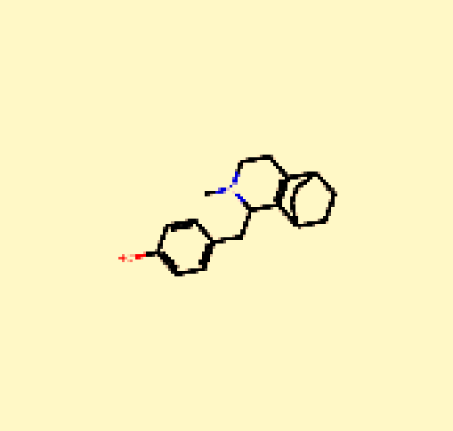 CN1CCC2=C(C3CCC2CC3)C1Cc1ccc(O)cc1